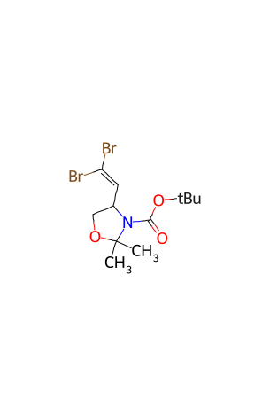 CC(C)(C)OC(=O)N1C(C=C(Br)Br)COC1(C)C